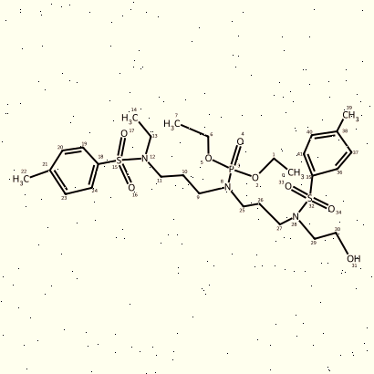 CCOP(=O)(OCC)N(CCCN(CC)S(=O)(=O)c1ccc(C)cc1)CCCN(CCO)S(=O)(=O)c1ccc(C)cc1